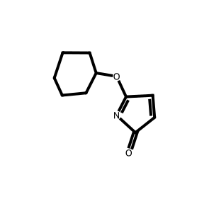 O=C1C=CC(OC2CCCCC2)=N1